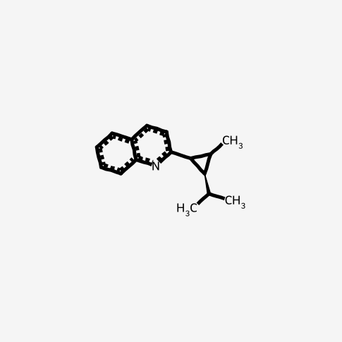 CC(C)[C@@H]1C(C)C1c1ccc2ccccc2n1